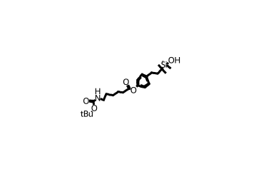 CC(C)(C)OC(=O)NCCCCCC(=O)Oc1ccc(CCC(C)(C)[Si](C)(C)O)cc1